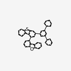 c1ccc(-c2cc(-c3ccccc3)cc(-c3cc(-c4cccc5oc6ccccc6c45)c4c(c3)sc3ccccc34)c2)cc1